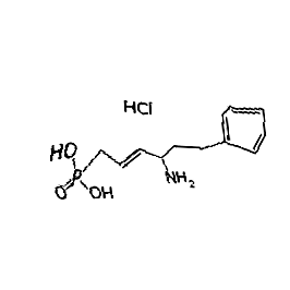 Cl.NC(/C=C/CP(=O)(O)O)CCc1ccccc1